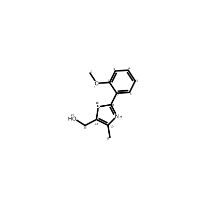 COc1ccccc1-c1nc(C)c(CO)s1